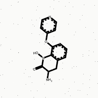 NC1Cc2cccc(Oc3ccncc3)c2N(O)C1=O